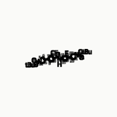 CC(C)(C)OC(=O)N1CC=C(c2ccc(C(=O)Nc3ccc(C4=CCN(C(=O)OC(C)(C)C)CC4)c(F)c3)c(C(F)(F)F)c2)CC1